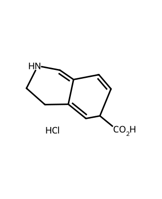 Cl.O=C(O)C1C=CC2=CNCCC2=C1